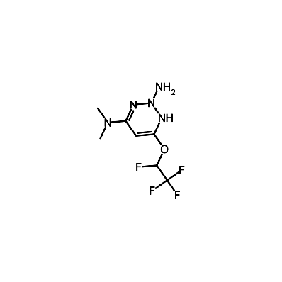 CN(C)C1=NN(N)NC(OC(F)C(F)(F)F)=C1